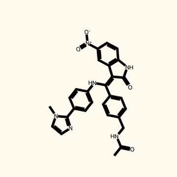 CC(=O)NCc1ccc(C(Nc2ccc(-c3nccn3C)cc2)=C2C(=O)Nc3ccc([N+](=O)[O-])cc32)cc1